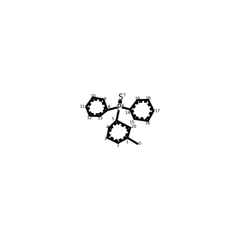 Cc1cccc(P(=S)(c2ccccc2)c2ccccc2)c1